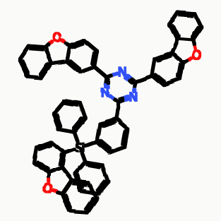 c1ccc([Si](c2ccccc2)(c2cccc(-c3nc(-c4ccc5oc6ccccc6c5c4)nc(-c4ccc5oc6ccccc6c5c4)n3)c2)c2cccc3oc4ccccc4c23)cc1